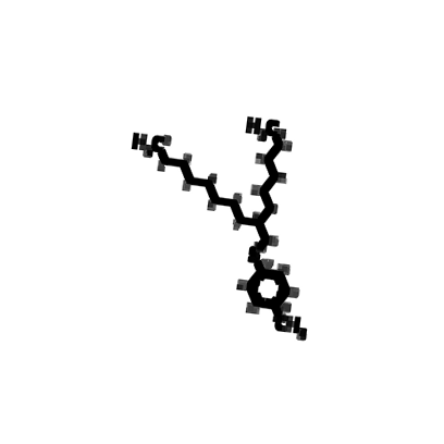 CCCCCCCCC(CCCCCC)CSc1ccc(C)cc1